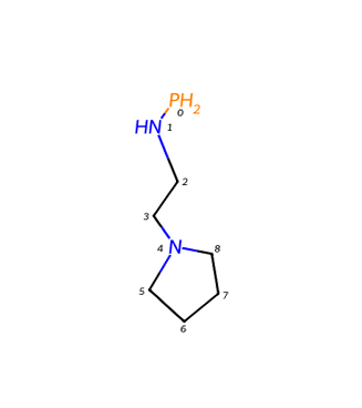 PNCCN1CCCC1